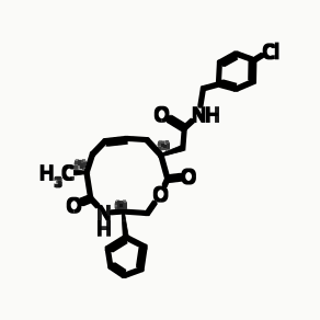 C[C@H]1CC=CC[C@@H](CC(=O)NCc2ccc(Cl)cc2)C(=O)OC[C@@H](c2ccccc2)NC1=O